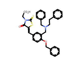 O=C(O)CN1C(=O)C(=Cc2ccc(OCc3ccccc3)c(CN(CCc3ccccc3)Cc3ccccc3)c2)SC1=S